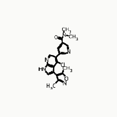 Cc1noc(C)c1-c1c[nH]c2ncc(-c3cncc(C(=O)N(C)C)c3)c(Cl)c12